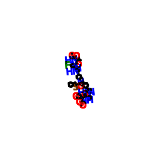 COC(=O)N[C@H](C(=O)N1C[C@H](F)C[C@H]1c1ncc(-c2ccc3c(c2)cc2n3C(c3cc4ccccc4s3)Oc3cc(-c4cnc([C@@H]5CCCN5C(=O)[C@@H](NC(=O)OC)C5CCOCC5)[nH]4)ccc3-2)[nH]1)C(C)C